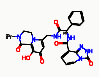 CC(C)N1CCn2c(CNC(=O)[C@H](NC(=O)c3cccn4c(=O)[nH]nc34)c3ccccc3)cc(=O)c(O)c2C1=O